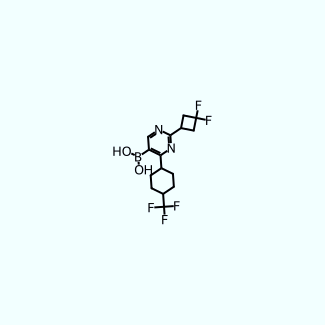 OB(O)c1cnc(C2CC(F)(F)C2)nc1C1CCC(C(F)(F)F)CC1